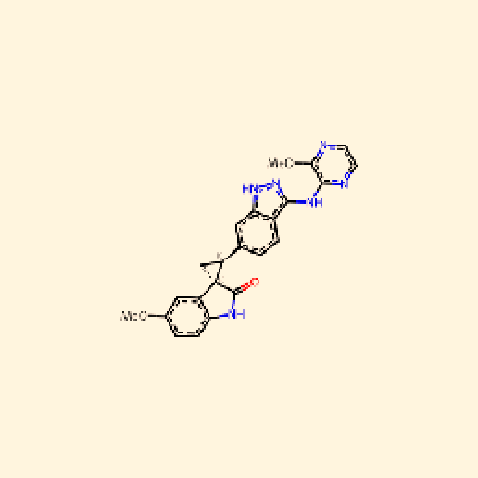 COc1ccc2c(c1)[C@]1(C[C@H]1c1ccc3c(Nc4nccnc4OC)n[nH]c3c1)C(=O)N2